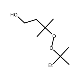 CCC(C)(C)OOC(C)(C)CCO